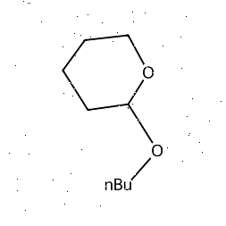 CCCCO[C]1CCCCO1